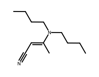 CCCCN(CCCC)C(C)=CC#N